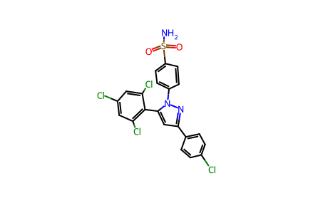 NS(=O)(=O)c1ccc(-n2nc(-c3ccc(Cl)cc3)cc2-c2c(Cl)cc(Cl)cc2Cl)cc1